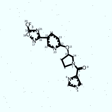 O=C(c1cscn1)N1CC[C@@H](Oc2ccc(-c3noc(C(F)(F)F)n3)cn2)C1